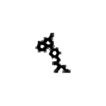 CC(C)(C)OC(=O)NCC1CCN(c2nc(Cl)cc3ncccc23)CC1